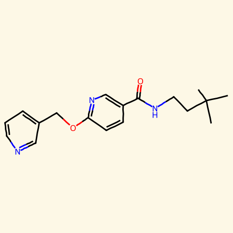 CC(C)(C)CCNC(=O)c1ccc(OCc2cccnc2)nc1